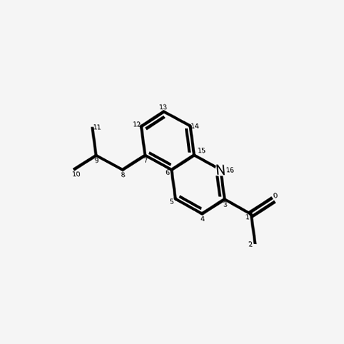 C=C(C)c1ccc2c(CC(C)C)cccc2n1